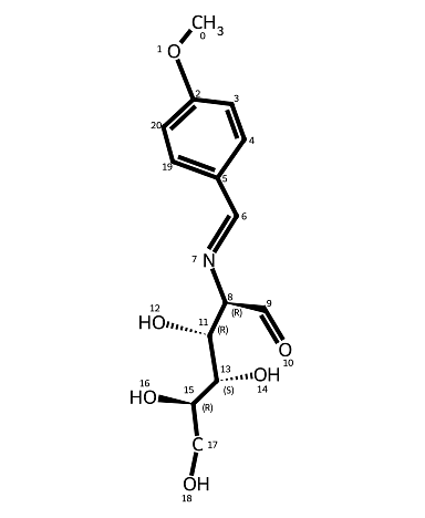 COc1ccc(C=N[C@@H](C=O)[C@@H](O)[C@H](O)[C@H](O)CO)cc1